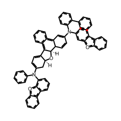 C1=CC2C(=c3ccccc3=C3C4=CC=C(N(c5ccccc5)c5cccc6c5oc5ccccc56)C[C@@H]4O[C@@H]32)C=C1N(c1ccc2c(c1)oc1ccccc12)c1ccccc1-c1ccccc1